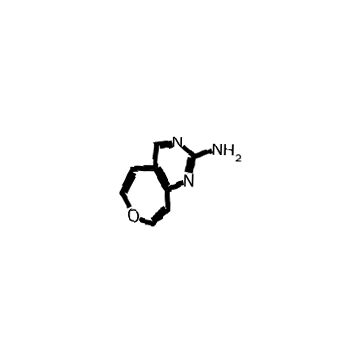 Nc1ncc2c(n1)C=COC=C2